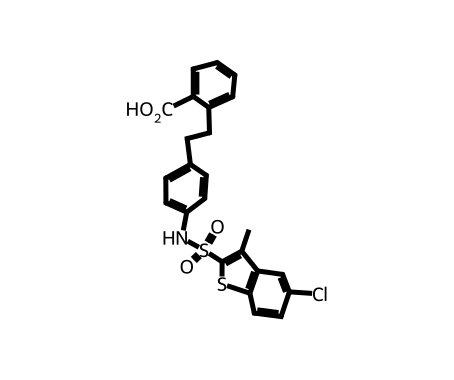 Cc1c(S(=O)(=O)Nc2ccc(CCc3ccccc3C(=O)O)cc2)sc2ccc(Cl)cc12